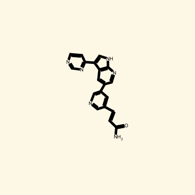 NC(=O)/C=C/c1cncc(-c2cnc3[nH]cc(-c4ccncn4)c3c2)c1